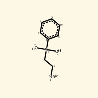 CNCC[Si](O)(O)c1ccccc1